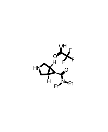 CCN(CC)C(=O)[C@H]1[C@@H]2CNC[C@@H]21.O=C(O)C(F)(F)F